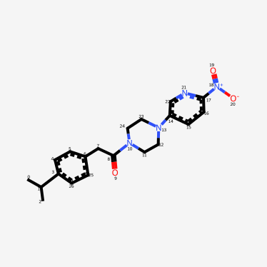 CC(C)c1ccc(CC(=O)N2CCN(c3ccc([N+](=O)[O-])nc3)CC2)cc1